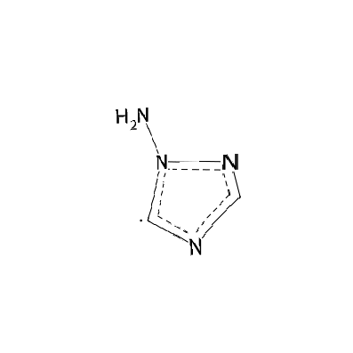 Nn1[c]ncn1